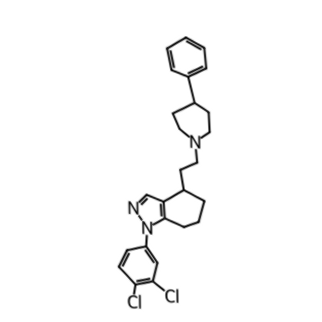 Clc1ccc(-n2ncc3c2CCCC3CCN2CCC(c3ccccc3)CC2)cc1Cl